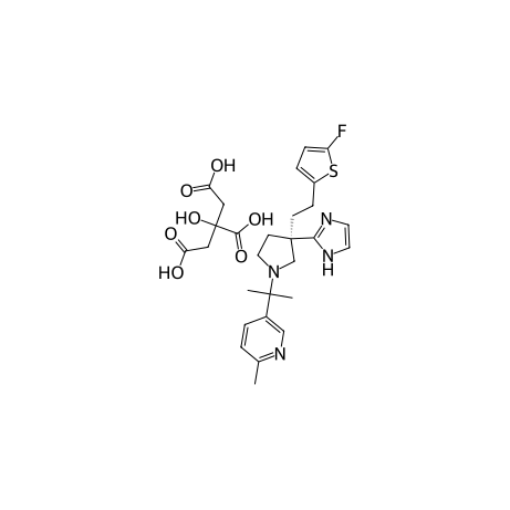 Cc1ccc(C(C)(C)N2CC[C@@](CCc3ccc(F)s3)(c3ncc[nH]3)C2)cn1.O=C(O)CC(O)(CC(=O)O)C(=O)O